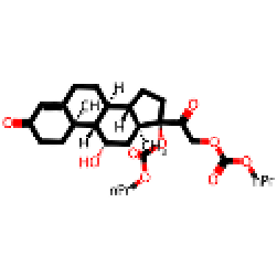 CCCOC(=O)OCC(=O)[C@@]1(OC(=O)OCCC)CC[C@H]2[C@@H]3CCC4=CC(=O)CC[C@]4(C)[C@H]3[C@@H](O)C[C@@]21C